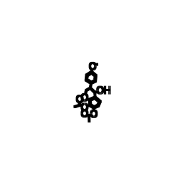 COc1ccc(C2COc3c(ccc(OC(C)=O)c3OC(C)=O)C2O)cc1